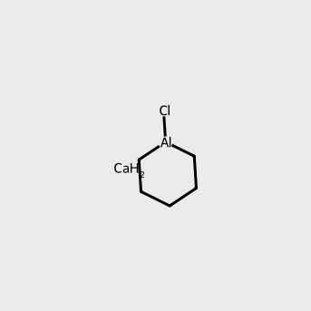 [CaH2].[Cl][Al]1[CH2]CCC[CH2]1